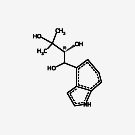 CC(C)(O)[C@H](O)C(O)c1cccc2[nH]ccc12